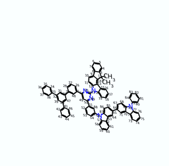 CC1(C)c2ccccc2-c2ccc3c(c21)c1ccccc1n3-c1nc(-c2cccc(-c3cc(-c4ccccc4)cc(-c4ccccc4)c3)c2)cc(-c2cccc(-n3c4ccccc4c4cc(-c5ccc6c(c5)c5ccccc5n6-c5ccccc5)ccc43)c2)n1